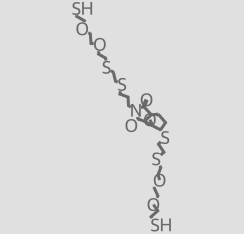 O=C1C2C3CC(SCCSCCOCCOCCS)C(O3)C2C(=O)N1CCCSCCSCCOCCOCCS